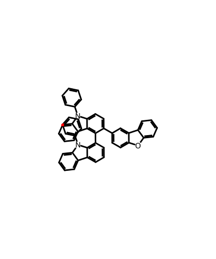 c1ccc(-n2c3ccccc3c3c(-c4cccc5c6ccccc6n(-c6ccccc6)c45)c(-c4ccc5oc6ccccc6c5c4)ccc32)cc1